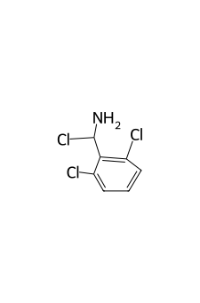 NC(Cl)c1c(Cl)cccc1Cl